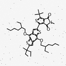 CCCCC(CC)COc1c2cc(C(C)(CC)CC)sc2c(OCC(CC)CCCC)c2cc(-c3sc(C(C)(C)C)c4c3C(=O)N(C)C4=O)sc12